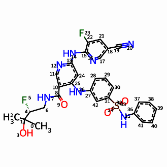 CC(C)(O)[C@H](F)CNC(=O)c1cnc(Nc2ncc(C#N)cc2F)cc1Nc1cccc(S(=O)(=O)Nc2ccccc2)c1